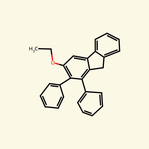 CCOc1cc2c(c(-c3ccccc3)c1-c1ccccc1)Cc1ccccc1-2